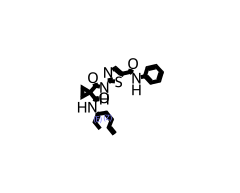 C=C/C=C\C(=C/C)NC(=O)C1(C(=O)Nc2ncc(C(=O)Nc3ccccc3)s2)CC1